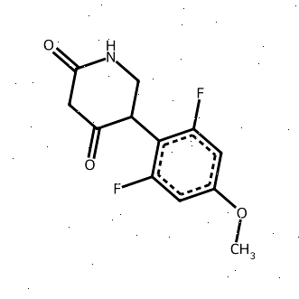 COc1cc(F)c(C2CNC(=O)CC2=O)c(F)c1